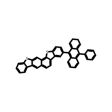 C1=c2c(-c3ccccc3)c3ccccc3c(-c3ccc4sc5c6cc7sc8ccccc8c7cc6ccc5c4c3)c2=CCC1